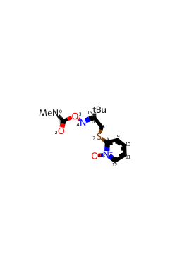 CNC(=O)ON=C(CSc1cccc[n+]1[O-])C(C)(C)C